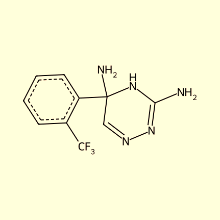 NC1=NN=CC(N)(c2ccccc2C(F)(F)F)N1